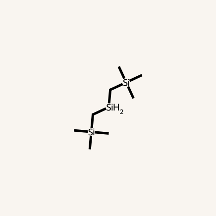 C[Si](C)(C)C[SiH2]C[Si](C)(C)C